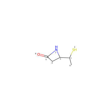 CC(S)C1CC(=O)N1